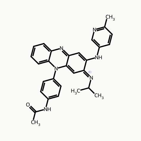 CC(=O)Nc1ccc(-n2c3c/c(=N\C(C)C)c(Nc4ccc(C)nc4)cc-3nc3ccccc32)cc1